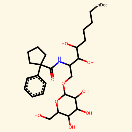 CCCCCCCCCCCCCCC(O)C(O)C(COC1OC(CO)C(O)C(O)C1O)NC(=O)C1(c2ccccc2)CCCC1